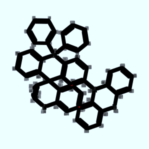 c1ccc([Si]2(c3ccccc3)c3ccccc3C3(c4ccccc4Sc4ccccc43)c3cc(N4c5ccccc5Sc5ccccc54)ccc32)cc1